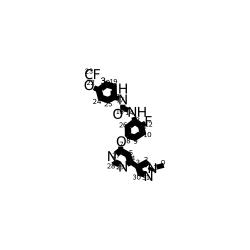 Cn1cc(-c2cc(Oc3ccc(F)c(NC(=O)Nc4ccc(OC(F)(F)F)cc4)c3)ncn2)cn1